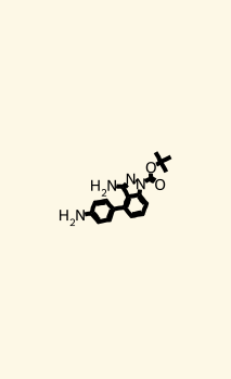 CC(C)(C)OC(=O)n1nc(N)c2c(-c3ccc(N)cc3)cccc21